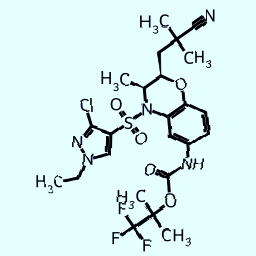 CCn1cc(S(=O)(=O)N2c3cc(NC(=O)OC(C)(C)C(F)(F)F)ccc3O[C@H](CC(C)(C)C#N)[C@@H]2C)c(Cl)n1